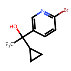 OC(c1ccc(Br)nc1)(C1CC1)C(F)(F)F